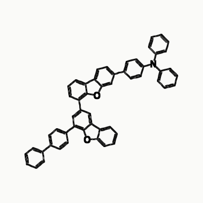 c1ccc(-c2ccc(-c3cc(-c4cccc5c4oc4cc(-c6ccc(N(c7ccccc7)c7ccccc7)cc6)ccc45)cc4c3oc3ccccc34)cc2)cc1